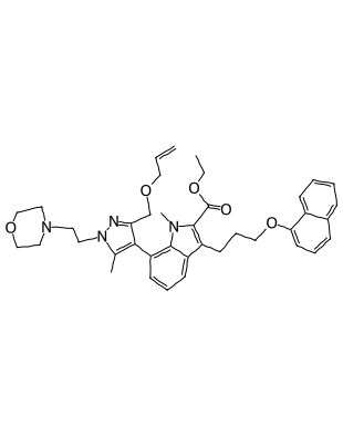 C=CCOCc1nn(CCN2CCOCC2)c(C)c1-c1cccc2c(CCCOc3cccc4ccccc34)c(C(=O)OCC)n(C)c12